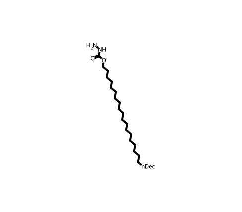 CCCCCCCCCCCCCCCCCCCCCCCCCCCCCOC(=O)NN